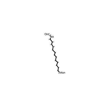 CCCCCCCCCCCCCCCCCCCCCCN[C]=O